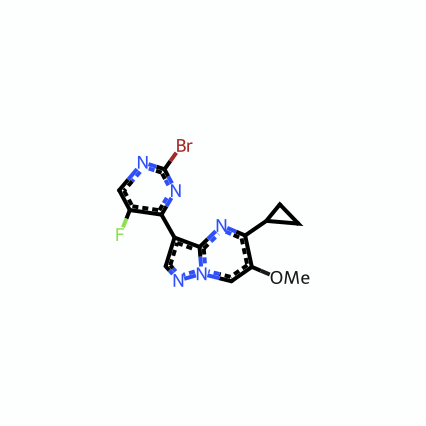 COc1cn2ncc(-c3nc(Br)ncc3F)c2nc1C1CC1